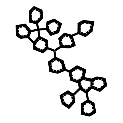 c1ccc(-c2ccc(N(c3cccc(-c4ccc5c(c4)c(-c4ccccc4)c(-c4ccccc4)c4ccccc45)c3)c3ccc4c(c3)C(c3ccccc3)(c3ccccc3)c3ccccc3-4)cc2)cc1